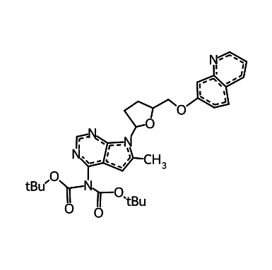 Cc1cc2c(N(C(=O)OC(C)(C)C)C(=O)OC(C)(C)C)ncnc2n1C1CCC(COc2ccc3cccnc3c2)O1